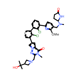 COc1nc(-c2cccc(-c3cccc(-c4cc5c(=O)n(C)c(CN6CC(C(C)(C)O)C6)nn5c4)c3Cl)c2Cl)ccc1CN(C)[C@H]1CCC(=O)N1